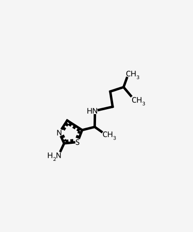 CC(C)CCNC(C)c1cnc(N)s1